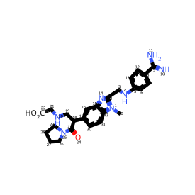 Cn1c(CNc2ccc(C(=N)N)cc2)nc2cc(C(CNCC(=O)O)C(=O)N3CCCC3)ccc21